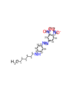 CCCCCCCNc1ccc(/N=N/c2ccc([N+](=O)[O-])c([N+](=O)[O-])c2)cc1